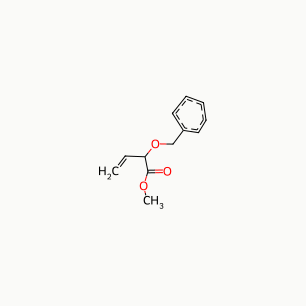 C=CC(OCc1ccccc1)C(=O)OC